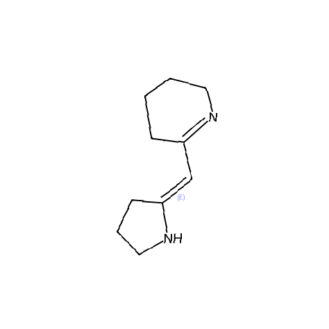 C(/C1=NCCCC1)=C1/CCCN1